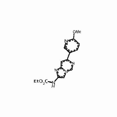 CCOC(=O)Nc1cn2cnc(-c3ccc(OC)nc3)cc2n1